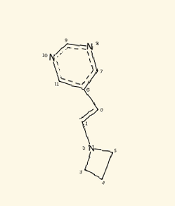 C(=CN1CCC1)c1cncnc1